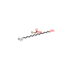 CCCCCCCCCCCCCCCCCO.O=C(O)CBr